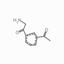 CC(=O)c1cccc(C(=O)CN)c1